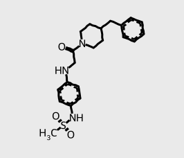 CS(=O)(=O)Nc1ccc(NCC(=O)N2CCC(Cc3ccccc3)CC2)cc1